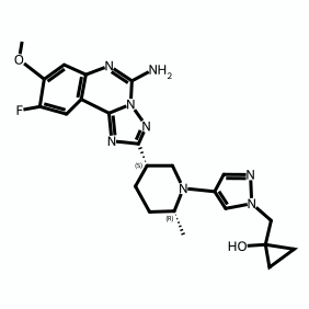 COc1cc2nc(N)n3nc([C@H]4CC[C@@H](C)N(c5cnn(CC6(O)CC6)c5)C4)nc3c2cc1F